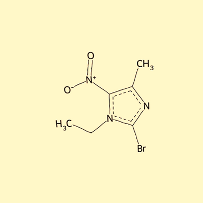 CCn1c(Br)nc(C)c1[N+](=O)[O-]